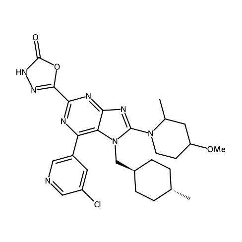 COC1CCN(c2nc3nc(-c4n[nH]c(=O)o4)nc(-c4cncc(Cl)c4)c3n2C[C@H]2CC[C@H](C)CC2)C(C)C1